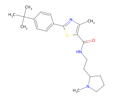 Cc1nc(-c2ccc(C(C)(C)C)cc2)sc1C(=O)NCCC1CCCN1C